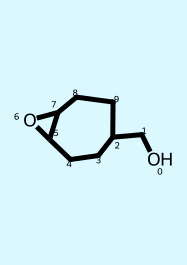 OCC1CCC2OC2CC1